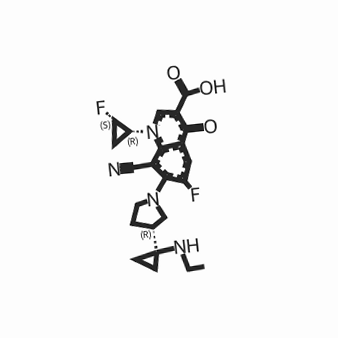 CCNC1([C@@H]2CCN(c3c(F)cc4c(=O)c(C(=O)O)cn([C@@H]5C[C@@H]5F)c4c3C#N)C2)CC1